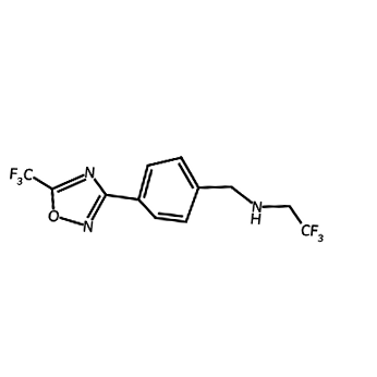 FC(F)(F)CNCc1ccc(-c2noc(C(F)(F)F)n2)cc1